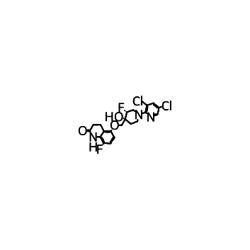 O=C1CCc2c(OC[C@@]3(O)CCN(c4ncc(Cl)cc4Cl)C[C@H]3F)ccc(F)c2N1